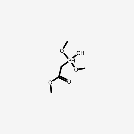 COC(=O)C[PH](O)(OC)OC